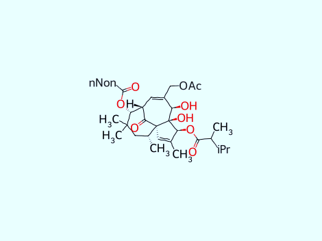 CCCCCCCCCC(=O)O[C@@H]1[C@@H]2C=C(COC(C)=O)[C@@H](O)[C@]3(O)[C@@H](OC(=O)C(C)C(C)C)C(C)=C[C@@]3(C2=O)[C@H](C)CC1(C)C